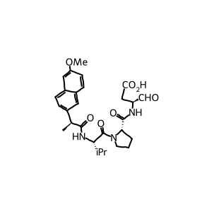 COc1ccc2cc([C@H](C)C(=O)N[C@H](C(=O)N3CCC[C@H]3C(=O)N[C@H](C=O)CC(=O)O)C(C)C)ccc2c1